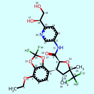 CCOc1ccc([C@@H]2[C@@H](C(=O)Nc3ccc([C@@H](O)CO)nc3)O[C@](C)(C(F)(F)F)[C@@H]2C)c2c1OC(F)(F)O2